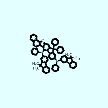 CC1(C)c2ccccc2-c2cc(N(c3ccccc3)c3ccc4c(c3)C(c3ccccc3)(c3ccccc3)c3cc5oc6c7ccccc7ccc6c5c(N(c5ccccc5)c5ccc6c(c5)C(C)(C)c5ccccc5-6)c3-4)ccc21